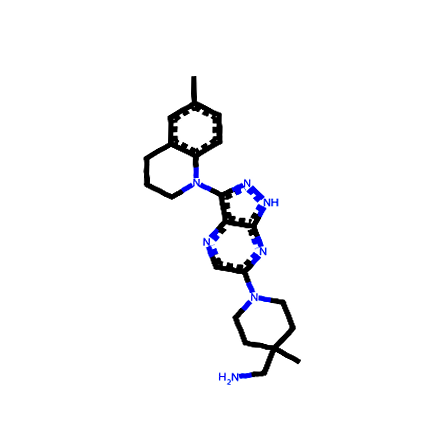 Cc1ccc2c(c1)CCCN2c1n[nH]c2nc(N3CCC(C)(CN)CC3)cnc12